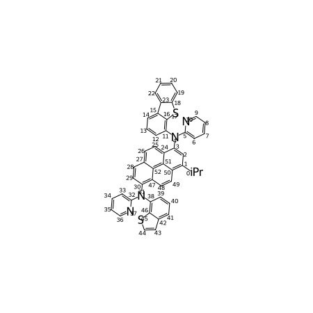 CC(C)c1cc(N(c2ccccn2)c2cccc3c2sc2ccccc23)c2ccc3ccc(N(c4ccccn4)c4cccc5ccsc45)c4ccc1c2c34